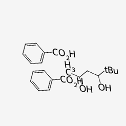 CC(O)CC(O)C(C)(C)C.O=C(O)c1ccccc1.O=C(O)c1ccccc1